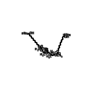 CCCCCCC(O)CCCCCCCCCCOC(=O)C(C)(C)OCCC(C)(C)OCC(COC(C)C)OC(C)(C)CCOC(C)(C)C(=O)OCCCCCCCCCCC(O)CCCCCC